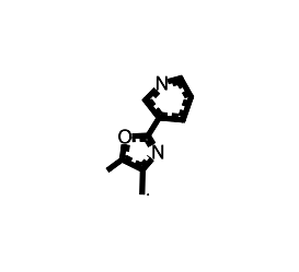 [CH2]c1nc(-c2cccnc2)oc1C